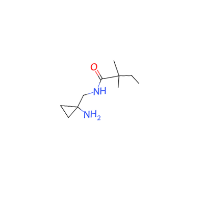 CCC(C)(C)C(=O)NCC1(N)CC1